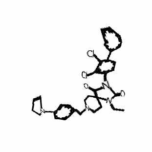 CCN1C(=O)N(c2ccc(-c3ccccc3)c(Cl)c2Cl)C(=O)C12CCN(Cc1ccc(N3CCCC3)cc1)CC2